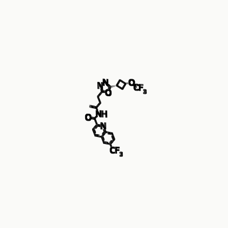 C=C(CCc1nnc([C@H]2C[C@@H](OC(F)(F)F)C2)o1)NC(=O)c1ccc2cc(C(F)(F)F)ccc2n1